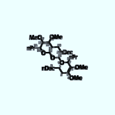 CCCCCCCCCCCCC(OC)=C(OC)C(CCC)OCOCOC(CCC)C(OC)=C(CCCCCCCCCCCC)OC